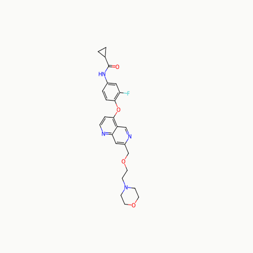 O=C(Nc1ccc(Oc2ccnc3cc(COCCN4CCOCC4)ncc23)c(F)c1)C1CC1